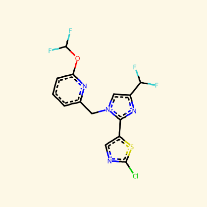 FC(F)Oc1cccc(Cn2cc(C(F)F)nc2-c2cnc(Cl)s2)n1